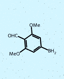 Bc1cc(OC)c(C=O)c(OC)c1